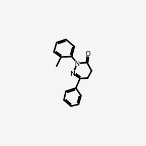 Cc1ccccc1N1N=C(c2ccccc2)CCC1=O